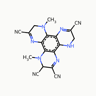 CN1CC(C#N)=Nc2c1c1c(c3c2N(C)C(C#N)C(C#N)=N3)NCC(C#N)=N1